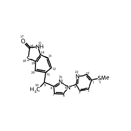 CSc1ccc(-n2ccc(C(C)c3ccc4[nH]c(=O)sc4c3)n2)nc1